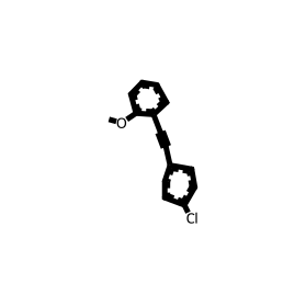 COc1ccccc1C#Cc1ccc(Cl)cc1